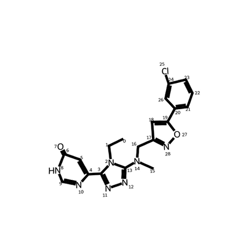 CCn1c(-c2cc(=O)[nH]cn2)nnc1N(C)Cc1cc(-c2cccc(Cl)c2)on1